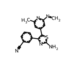 C=Nc1cc(-c2sc(N)nc2-c2cccc(C#N)c2)cc(C)n1